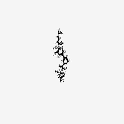 CCc1cnc(NC(=O)C(C)c2cccc(-c3cnc(NC(=O)C=CCN(C)C)c(C)c3)c2)s1